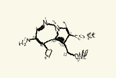 CCOC(=O)c1cn2ncc(N)c(Cl)c2c1COC